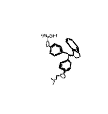 CN(C)CCOc1ccc(C(=C2CCc3ccccc32)c2ccc(OP(O)O)cc2)cc1